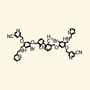 Cc1c(COc2cc(OCc3cncc(C#N)c3)c(CNCc3ccccn3)cc2Br)cccc1-c1cccc(COc2cc(OCc3cncc(C#N)c3)c(CNCc3ccccn3)cc2Br)c1C